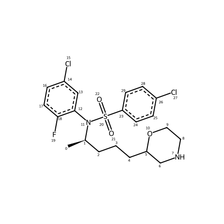 C[C@H](CCCC1CNCCO1)N(c1cc(Cl)ccc1F)S(=O)(=O)c1ccc(Cl)cc1